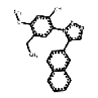 CCc1cc(-n2nncc2-c2ccc3ccccc3c2)c(O)cc1OC